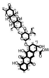 COC(=O)[C@@H]1c2cc3c(c(O)c2[C@@H](O[C@H]2C[C@H](N(C)C)[C@H](O[C@H]4C[C@@H]5O[C@H]6CC(=O)[C@H](C)O[C@H]6O[C@@H]5[C@H](C)O4)[C@H](C)O2)C[C@@]1(C)O)C(=O)c1c(O)cccc1C3=O